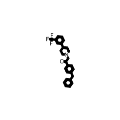 O=C(CN1CC=C(c2cccc(C(F)(F)F)c2)CC1)c1ccc(Cc2ccccc2)cc1